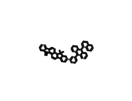 CC1(C)c2cc(-c3cccc(-c4c5ccccc5c(-c5cccc6ccccc56)c5ccccc45)c3)ccc2-c2ccc3c(ccc4c5ccccc5sc34)c21